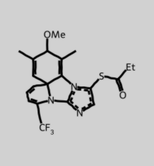 CCC(=O)Sc1cnc2n1C1=C(C)C(OC)C(C)=CC13C=CC=C(C(F)(F)F)N23